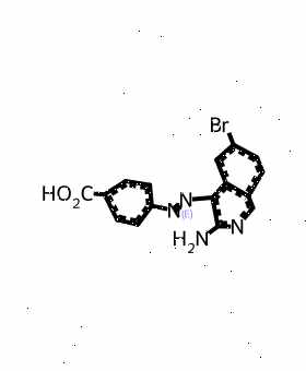 Nc1ncc2ccc(Br)cc2c1/N=N/c1ccc(C(=O)O)cc1